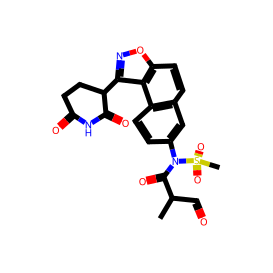 CC(C=O)C(=O)N(c1ccc2c(ccc3onc(C4CCC(=O)NC4=O)c32)c1)S(C)(=O)=O